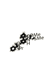 COC(=O)[C@H](CCSC)NC(=O)c1ccc(CO[C@@H](C)C(OC(C)C)C2CCCCC2)cc1-c1ccccc1C